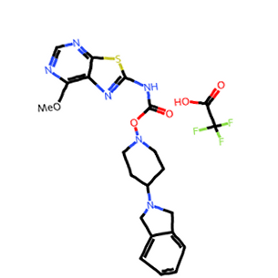 COc1ncnc2sc(NC(=O)ON3CCC(N4Cc5ccccc5C4)CC3)nc12.O=C(O)C(F)(F)F